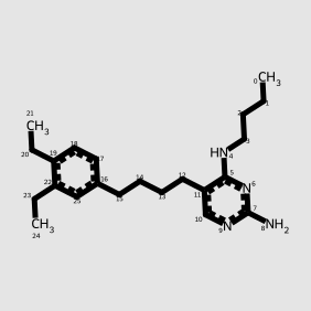 CCCCNc1nc(N)ncc1CCCCc1ccc(CC)c(CC)c1